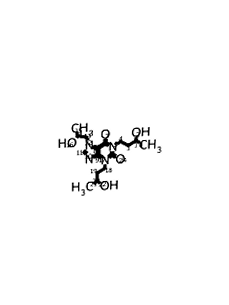 CC(O)CCn1c(=O)c2c(ncn2CC(C)O)n(CCC(C)O)c1=O